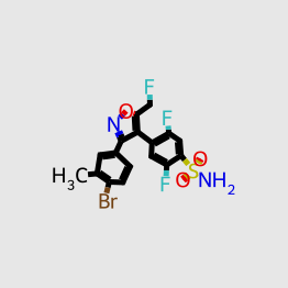 Cc1cc(-c2noc(CF)c2-c2cc(F)c(S(N)(=O)=O)cc2F)ccc1Br